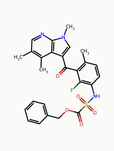 Cc1ccc(NS(=O)(=O)C(=O)OCc2ccccc2)c(F)c1C(=O)c1cn(C)c2ncc(C)c(C)c12